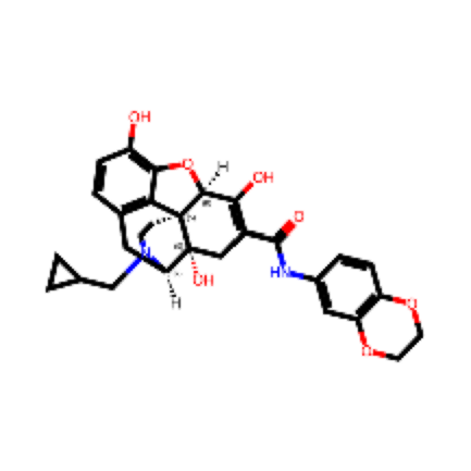 O=C(Nc1ccc2c(c1)OCCO2)C1=C(O)[C@@H]2Oc3c(O)ccc4c3[C@@]23CCN(CC2CC2)[C@H](C4)[C@]3(O)C1